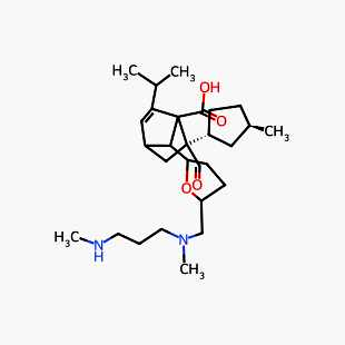 CNCCCN(C)CC1CCC(C2C3C=C(C(C)C)C2(C(=O)O)C(C=O)([C@@H]2CC[C@@H](C)C2)C3)O1